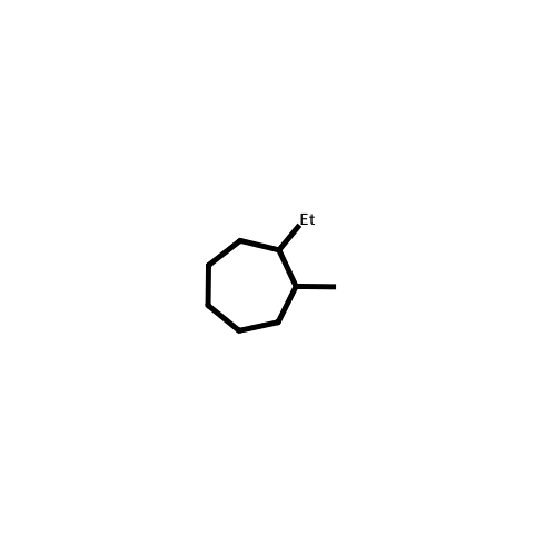 CC[C]1CCCCCC1C